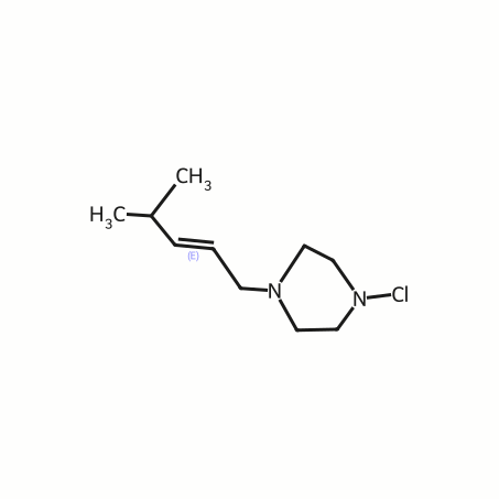 CC(C)/C=C/CN1CCN(Cl)CC1